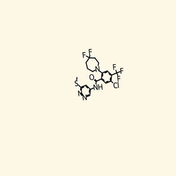 CSc1cc(NC(=O)c2cc(Cl)c(C(F)(F)F)cc2N2CCCC(F)(F)CC2)cnn1